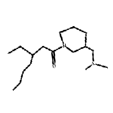 CCCCC(CC)CC(=O)N1CCCC(CN(C)C)C1